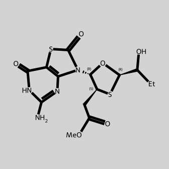 CCC(O)[C@@H]1O[C@@H](n2c(=O)sc3c(=O)[nH]c(N)nc32)[C@H](CC(=O)OC)S1